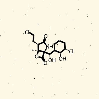 C[C@@]12OC(=O)[C@]1([C@@H](O)[C@H]1CCC[C@H](Cl)[C@H]1O)NC(=O)[C@@H]2CCCl